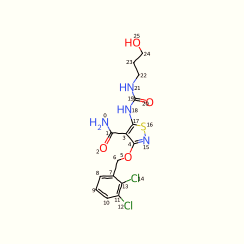 NC(=O)c1c(OCc2cccc(Cl)c2Cl)nsc1NC(=O)NCCCO